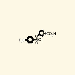 O=C(O)N1CCC(OS(=O)(=O)c2ccc(C(F)(F)F)cc2)C1